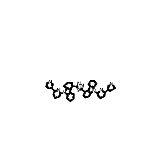 c1cncc(-c2cccc(-n3c4ccccc4c4c(-c5nnc(-c6cccc7c6c6ccccc6n7-c6cccc(-c7cccnc7)n6)s5)cccc43)n2)c1